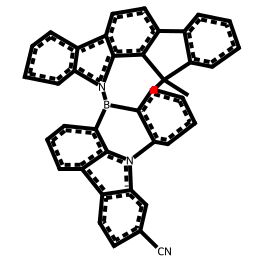 CC1(C)c2ccccc2-c2ccc3c4ccccc4n(B4c5ccccc5-n5c6cc(C#N)ccc6c6cccc4c65)c3c21